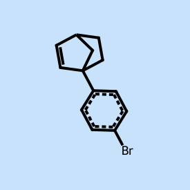 Brc1ccc(C23C=CC(CC2)C3)cc1